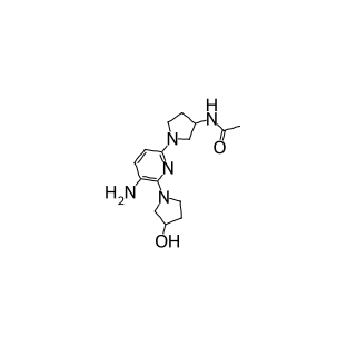 CC(=O)NC1CCN(c2ccc(N)c(N3CCC(O)C3)n2)C1